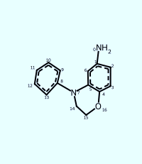 Nc1ccc2c(c1)N(c1ccccc1)CCO2